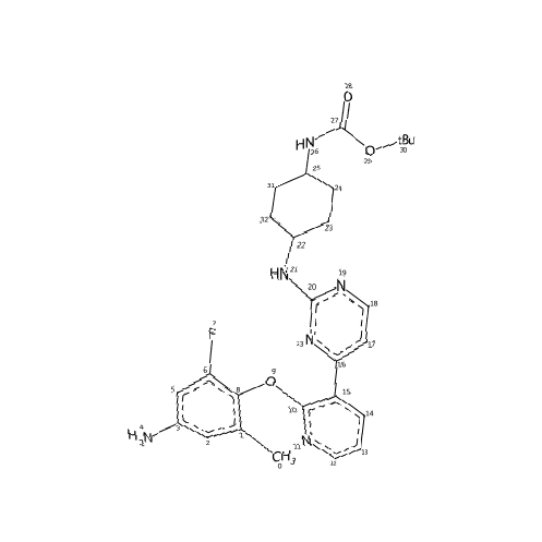 Cc1cc(N)cc(F)c1Oc1ncccc1-c1ccnc(NC2CCC(NC(=O)OC(C)(C)C)CC2)n1